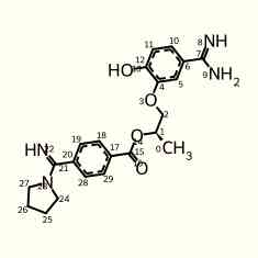 C[C@H](COc1cc(C(=N)N)ccc1O)OC(=O)c1ccc(C(=N)N2CCCC2)cc1